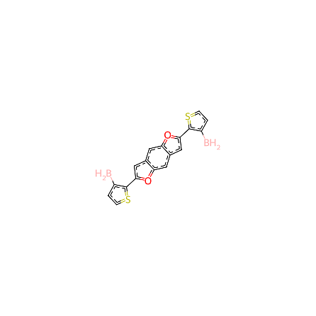 Bc1ccsc1-c1cc2cc3oc(-c4sccc4B)cc3cc2o1